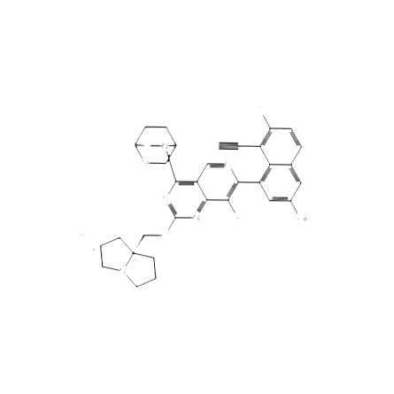 C#Cc1c(F)ccc2cc(O)cc(-c3ncc4c(N5CC6CCC5CN6)nc(OC[C@@]56CCCN5C[C@H](F)C6)nc4c3F)c12